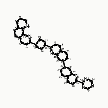 c1cnc2c(c1)ccc1ccc(-c3ccc(-c4ccc5ccc(-c6ccc7ccc(-c8ncncn8)nc7c6)cc5n4)cc3)nc12